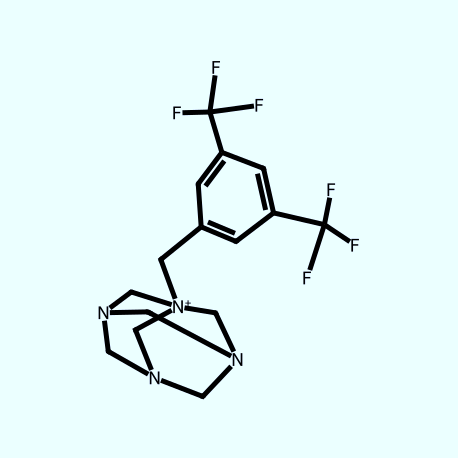 FC(F)(F)c1cc(C[N+]23CN4CN(CN(C4)C2)C3)cc(C(F)(F)F)c1